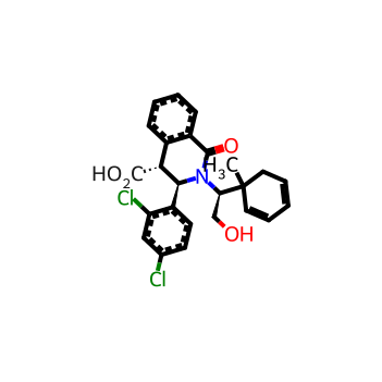 CC1([C@@H](CO)N2C(=O)c3ccccc3[C@@H](C(=O)O)[C@@H]2c2ccc(Cl)cc2Cl)C=CC=CC1